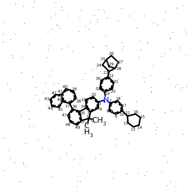 CC1(C)c2cc(N(c3ccc(C4CCCCC4)cc3)c3ccc(C4CC5CCC4C5)cc3)ccc2-c2c(-c3cccc4ccccc34)cccc21